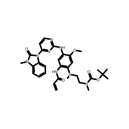 C=CC(=O)Nc1cc(Nc2nccc(-n3c(=O)n(C)c4ccccc43)n2)c(OC)cc1N(C)CCN(C)C(=O)OC(C)(C)C